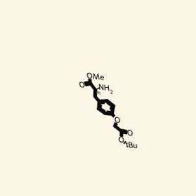 COC(=O)[C@H](N)Cc1ccc(OCC(=O)OC(C)(C)C)cc1